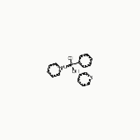 O=P(O)(O)c1ccccc1.c1ccncc1.c1ccncc1